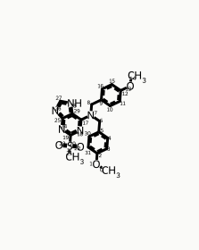 COc1ccc(CN(Cc2ccc(OC)cc2)c2nc(S(C)(=O)=O)nc3nc[nH]c23)cc1